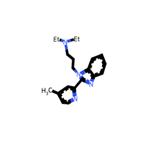 CCN(CC)CCCn1c(-c2cc(C)ccn2)nc2ccccc21